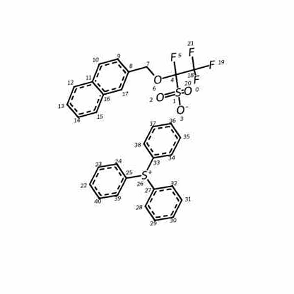 O=S(=O)([O-])C(F)(OCc1ccc2ccccc2c1)C(F)(F)F.c1ccc([S+](c2ccccc2)c2ccccc2)cc1